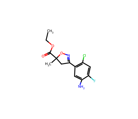 CCOC(=O)C1(C)CC(c2cc(N)c(F)cc2Cl)=NO1